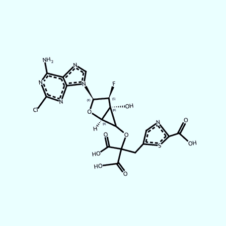 Nc1nc(Cl)nc2c1ncn2[C@@H]1O[C@@H]2C(OC(Cc3cnc(C(=O)O)s3)(C(=O)O)C(=O)O)[C@]2(O)[C@@H]1F